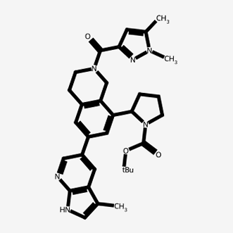 Cc1c[nH]c2ncc(-c3cc4c(c(C5CCCN5C(=O)OC(C)(C)C)c3)CN(C(=O)c3cc(C)n(C)n3)CC4)cc12